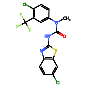 CN(C(=O)Nc1nc2ccc(Cl)cc2s1)c1ccc(Cl)c(C(F)(F)F)c1